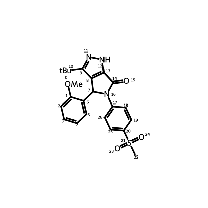 COc1ccccc1C1c2c(C(C)(C)C)n[nH]c2C(=O)N1c1ccc(S(C)(=O)=O)cc1